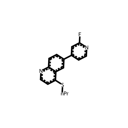 CCCSc1ccnc2ccc(-c3ccnc(F)c3)cc12